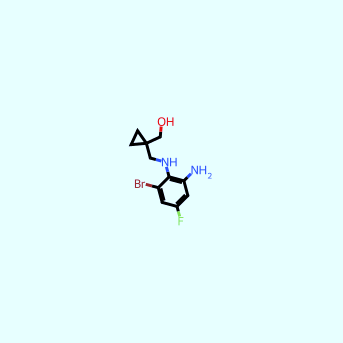 Nc1cc(F)cc(Br)c1NCC1(CO)CC1